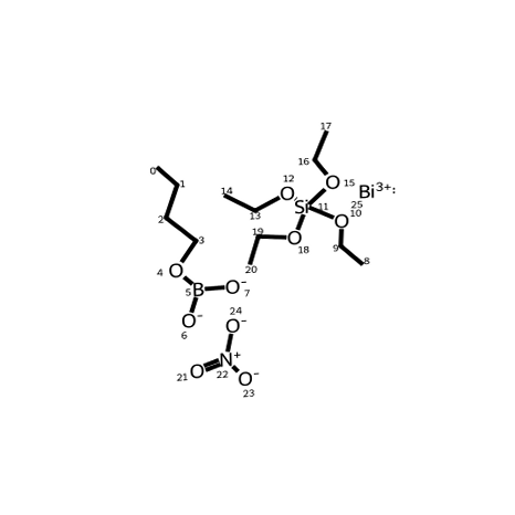 CCCCOB([O-])[O-].CCO[Si](OCC)(OCC)OCC.O=[N+]([O-])[O-].[Bi+3]